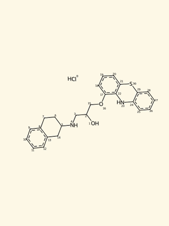 Cl.OC(CNC1CCc2ccccc2C1)COc1cccc2c1Nc1ccccc1S2